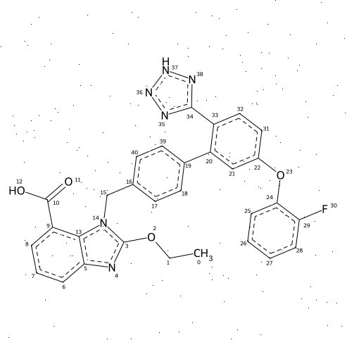 CCOc1nc2cccc(C(=O)O)c2n1Cc1ccc(-c2cc(Oc3ccccc3F)ccc2-c2nn[nH]n2)cc1